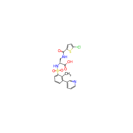 Cc1c(-c2cccnc2)cccc1S(=O)(=O)N[C@@H](CNC(=O)c1ccc(Cl)s1)C(=O)O